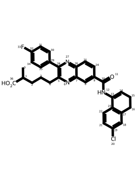 CC(CCCc1nc2cc(C(=O)NC3=CCCc4cc(Cl)ccc43)ccc2nc1-c1ccc(F)cc1)C(=O)O